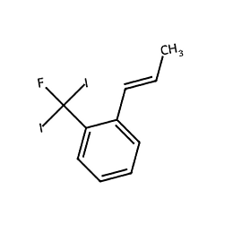 C/C=C/c1ccccc1C(F)(I)I